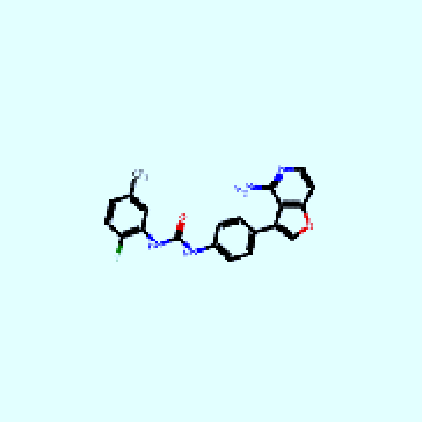 Nc1nccc2occ(-c3ccc(NC(=O)Nc4cc(C(F)(F)F)ccc4F)cc3)c12